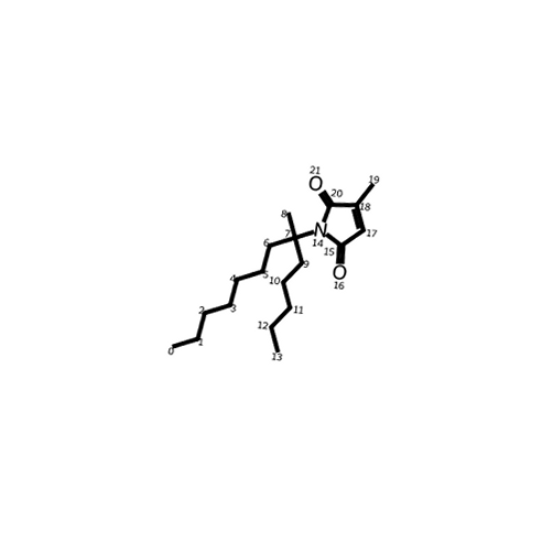 CCCCCCCC(C)(CCCCC)N1C(=O)C=C(C)C1=O